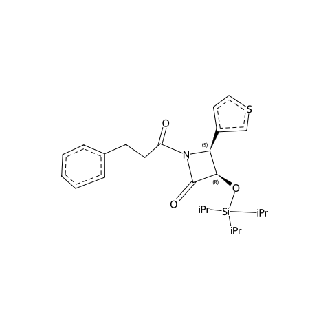 CC(C)[Si](O[C@H]1C(=O)N(C(=O)CCc2ccccc2)[C@H]1c1ccsc1)(C(C)C)C(C)C